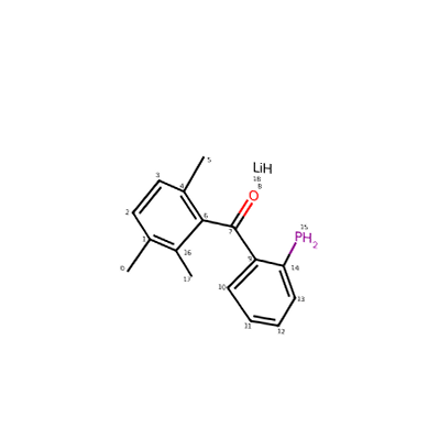 Cc1ccc(C)c(C(=O)c2ccccc2P)c1C.[LiH]